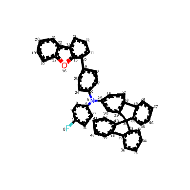 Fc1ccc(N(c2ccc(-c3cccc4c3oc3ccccc34)cc2)c2ccc3c(c2)C2(c4ccccc4-c4ccccc42)c2ccccc2-3)cc1